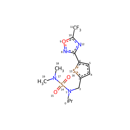 CC(C)N(Cc1ccc(-c2noc(C(F)(F)F)n2)s1)S(=O)(=O)N(C)C